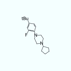 CC(C)(C)c1ccc(N2CCN(C3CCCC3)CC2)c(F)c1